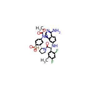 COC(=O)Nc1ccc([SH](=O)=O)c([C@H]2CCCN2C(=O)[C@H](Nc2ccc3c(N)nccc3c2)c2cc(C)c(F)cc2F)c1